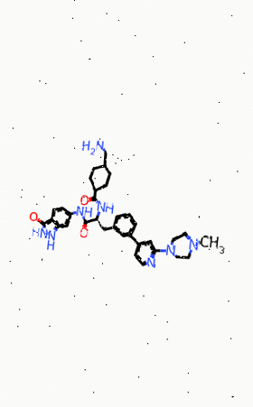 CN1CCN(c2cc(-c3cccc(C[C@H](NC(=O)C4CCC(CN)CC4)C(=O)Nc4ccc5c(=O)[nH][nH]c5c4)c3)ccn2)CC1